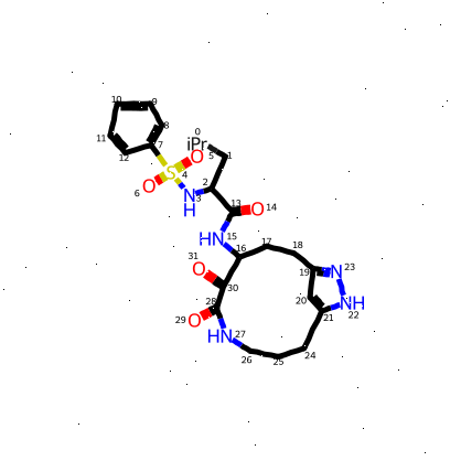 CC(C)CC(NS(=O)(=O)c1ccccc1)C(=O)NC1CCc2cc([nH]n2)CCCNC(=O)C1=O